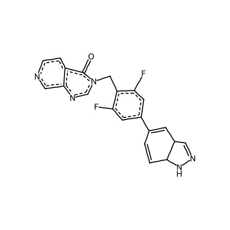 O=c1c2ccncc2ncn1Cc1c(F)cc(C2=CC3C=NNC3C=C2)cc1F